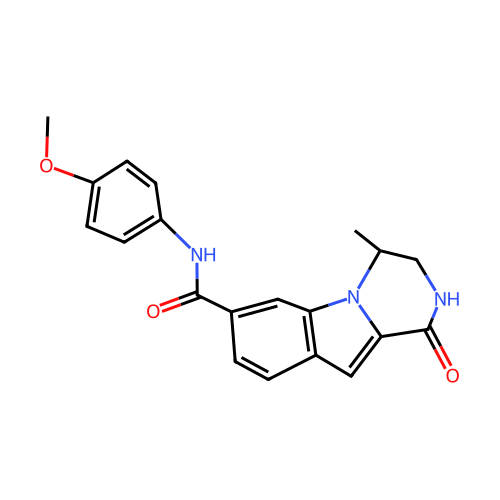 COc1ccc(NC(=O)c2ccc3cc4n(c3c2)C(C)CNC4=O)cc1